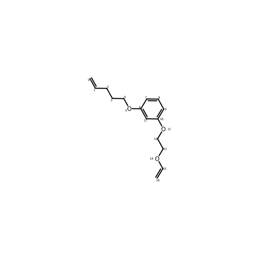 C=CCCCOc1cccc(OCCOC=C)c1